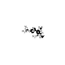 COc1cc(-c2cnc3cc(OCC(C)N)ccn23)cc(OC(F)F)c1C(=O)NC1CC1